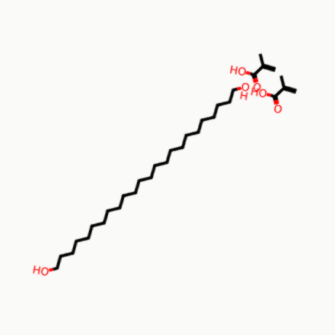 C=C(C)C(=O)O.C=C(C)C(=O)O.OCCCCCCCCCCCCCCCCCCCCCCCCO